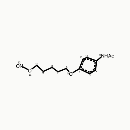 CC(=O)Nc1ccc(OCCCCCON=O)cc1